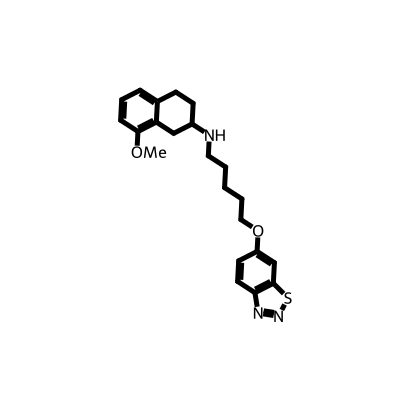 COc1cccc2c1CC(NCCCCCOc1ccc3nnsc3c1)CC2